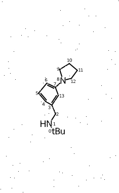 CC(C)(C)NCc1cccc(N2CCCC2)c1